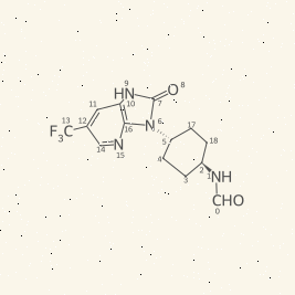 O=CN[C@H]1CC[C@H](n2c(=O)[nH]c3cc(C(F)(F)F)cnc32)CC1